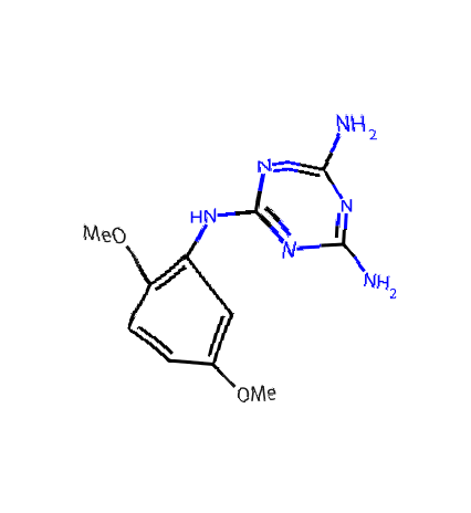 COc1ccc(OC)c(Nc2nc(N)nc(N)n2)c1